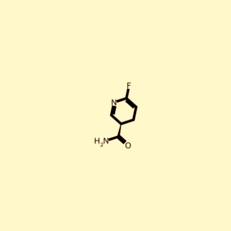 NC(=O)[C@H]1C=NC(F)=CC1